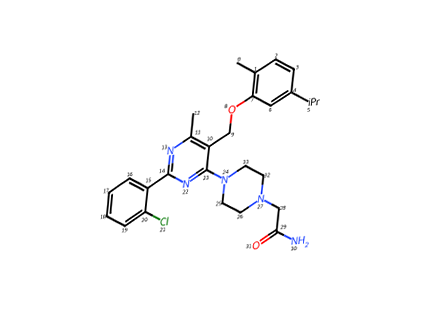 Cc1ccc(C(C)C)cc1OCc1c(C)nc(-c2ccccc2Cl)nc1N1CCN(CC(N)=O)CC1